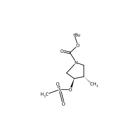 C[C@H]1CN(C(=O)OC(C)(C)C)C[C@@H]1OS(C)(=O)=O